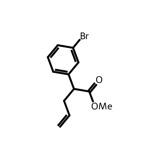 C=CCC(C(=O)OC)c1cccc(Br)c1